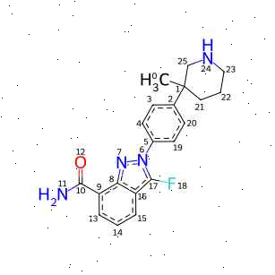 CC1(c2ccc(-n3nc4c(C(N)=O)cccc4c3F)cc2)CCCNC1